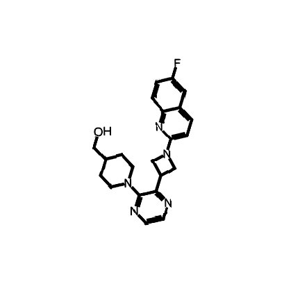 OCC1CCN(c2nccnc2C2CN(c3ccc4cc(F)ccc4n3)C2)CC1